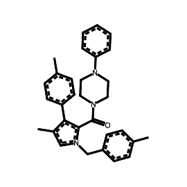 Cc1ccc(Cn2cc(C)c(-c3ccc(C)cc3)c2C(=O)N2CCN(c3ccccc3)CC2)cc1